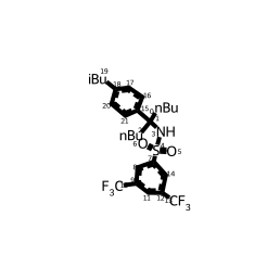 CCCCC(CCCC)(NS(=O)(=O)c1cc(C(F)(F)F)cc(C(F)(F)F)c1)c1ccc(C(C)CC)cc1